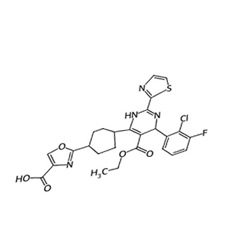 CCOC(=O)C1=C(C2CCC(c3nc(C(=O)O)co3)CC2)NC(c2nccs2)=NC1c1cccc(F)c1Cl